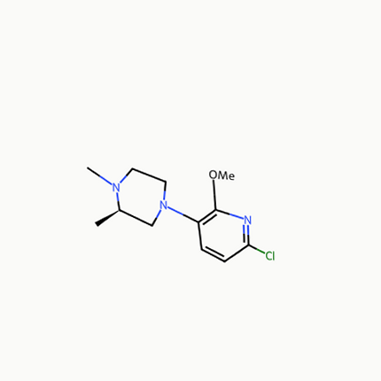 COc1nc(Cl)ccc1N1CCN(C)[C@H](C)C1